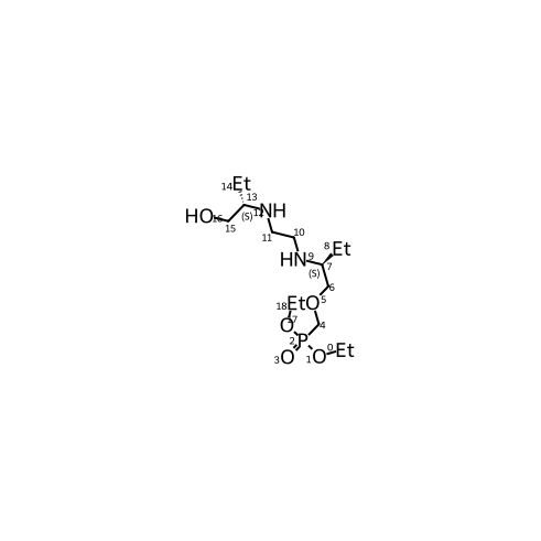 CCOP(=O)(COC[C@H](CC)NCCN[C@@H](CC)CO)OCC